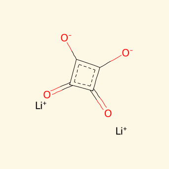 O=c1c([O-])c([O-])c1=O.[Li+].[Li+]